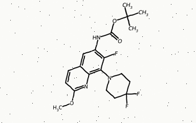 COc1ccc2cc(NC(=O)OC(C)(C)C)c(F)c(N3CCC(F)(F)CC3)c2n1